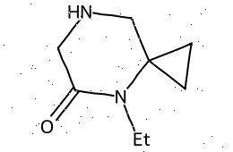 CCN1C(=O)CNCC12CC2